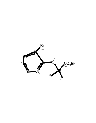 CCOC(=O)C(C)(C)Sc1ncccc1Br